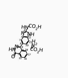 NC(=O)O.O=C(O)Nc1nc2cc(-c3n[nH]c(=O)c4ccccc34)ccc2[nH]1